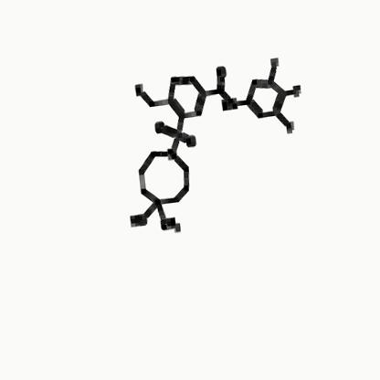 CC1(O)CCCN(S(=O)(=O)c2cc(C(=O)Nc3cc(F)c(F)c(F)c3)ccc2CF)CCC1